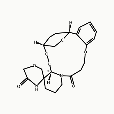 O=C1COCC2(CCCN3C(=O)CCOc4ccccc4[C@H]4CC[C@H](CC4)OC[C@H]32)N1